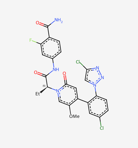 CC[C@@H](C(=O)Nc1ccc(C(N)=O)c(F)c1)n1cc(OC)c(-c2cc(Cl)ccc2-n2cc(Cl)nn2)cc1=O